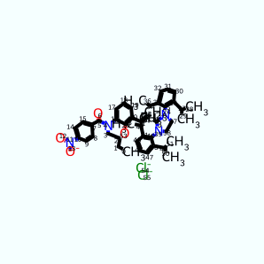 CCC1CN(C(=O)c2ccc([N+](=O)[O-])cc2)c2cccc(/[CH]=[Ru+2]/[CH]3N(c4c(C(C)C)cccc4C(C)C)CCN3c3c(C(C)C)cccc3C(C)C)c2O1.[Cl-].[Cl-]